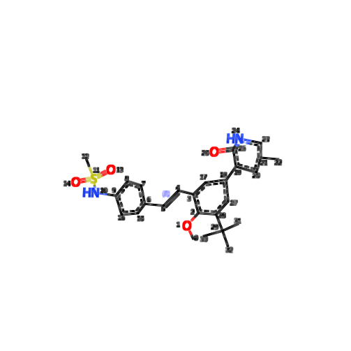 COc1c(/C=C/c2ccc(NS(C)(=O)=O)cc2)cc(-c2cc(C)c[nH]c2=O)cc1C(C)(C)C